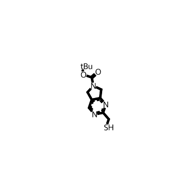 CC(C)(C)OC(=O)N1Cc2cnc(CS)nc2C1